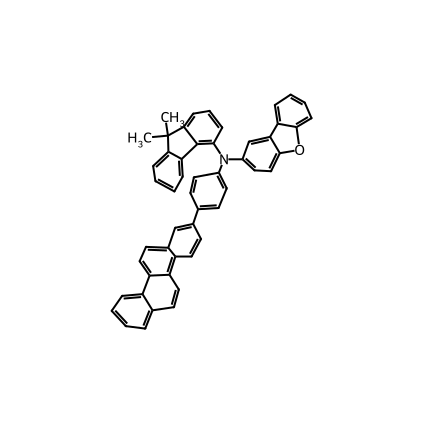 CC1(C)c2ccccc2-c2c(N(c3ccc(-c4ccc5c(ccc6c7ccccc7ccc56)c4)cc3)c3ccc4oc5ccccc5c4c3)cccc21